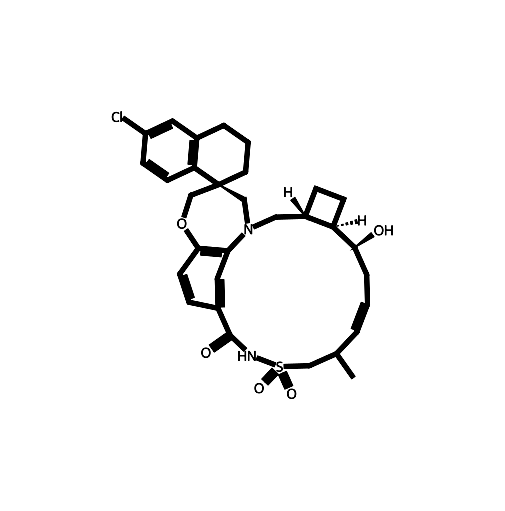 CC1/C=C\C[C@H](O)[C@@H]2CC[C@H]2CN2C[C@@]3(CCCc4cc(Cl)ccc43)COc3ccc(cc32)C(=O)NS(=O)(=O)C1